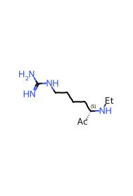 CCN[C@@H](CCCCNC(=N)N)C(C)=O